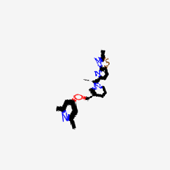 Cc1cc(OC[C@@H]2CCCN([C@H](C)c3ccc4sc(C)nc4n3)C2)cc(C)n1